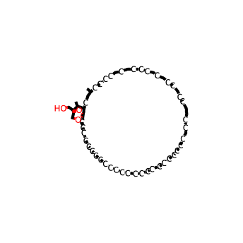 CC1CCCCCCCCCCCCCCCCCCCCCCCCCCCCCCCCCCCCCCCCCCCCCCCC2(OCC(CO)O2)C(C(C)C)CC1